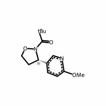 COc1ccc([C@@H]2CCON2C(=O)C(C)(C)C)cn1